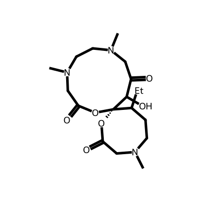 CCC1CCN(C)CC(=O)O[C@@]12OC(=O)CN(C)CCN(C)CC(=O)C2O